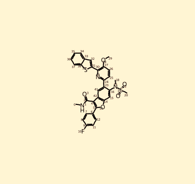 CNC(=O)c1c(-c2ccc(F)cc2)oc2cc(N(C)S(C)(=O)=O)c(-c3ccc(OC)c(-c4cc5ccccc5s4)n3)cc12